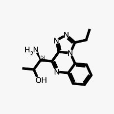 CCc1nnc2c([C@H](N)C(C)O)nc3ccccc3n12